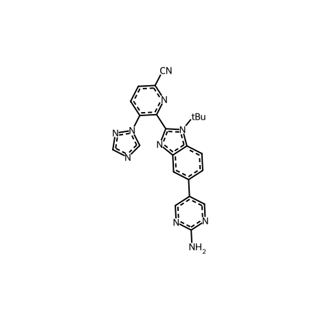 CC(C)(C)n1c(-c2nc(C#N)ccc2-n2cncn2)nc2cc(-c3cnc(N)nc3)ccc21